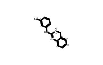 Clc1cccc(NC2=Nc3ccccc3CN2)c1